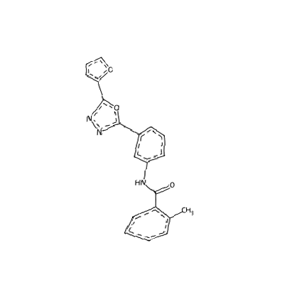 Cc1ccccc1C(=O)Nc1cccc(-c2nnc(-c3ccco3)o2)c1